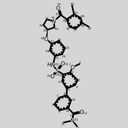 COc1ccc(-c2cccc(C(=O)N(C)C)c2)cc1S(=O)(=O)Nc1cccc(O[C@H]2CCN(C(=O)c3ccc(C)cc3C)C2)c1